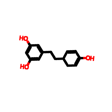 OC1=CCC(CCc2cc(O)cc(O)c2)C=C1